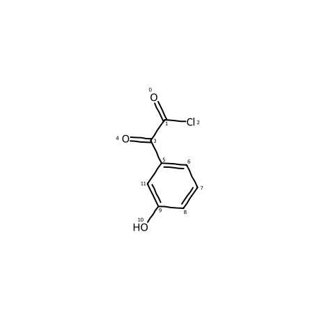 O=C(Cl)C(=O)c1cccc(O)c1